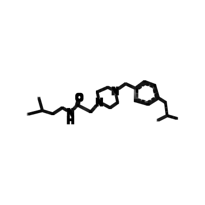 CC(C)CCNC(=O)CN1CCN(Cc2ccc(CC(C)C)cc2)CC1